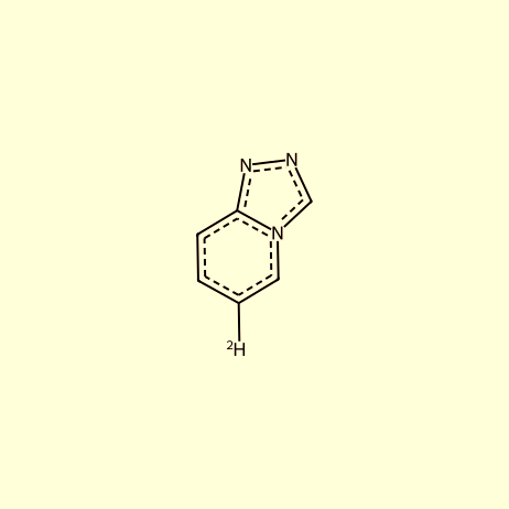 [2H]c1ccc2nncn2c1